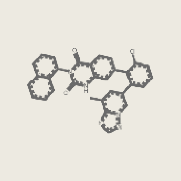 Cc1cc(-c2cccc(Cl)c2-c2ccc3c(=O)n(-c4cccc5ccccc45)c(=O)[nH]c3c2)cn2ncnc12